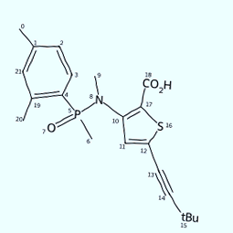 Cc1ccc(P(C)(=O)N(C)c2cc(C#CC(C)(C)C)sc2C(=O)O)c(C)c1